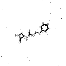 O=C(N[C@H]1CNC1=O)OCCc1ccccc1